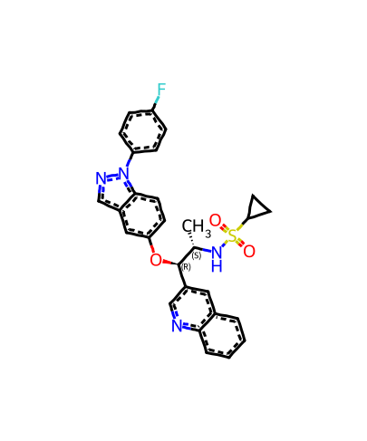 C[C@H](NS(=O)(=O)C1CC1)[C@H](Oc1ccc2c(cnn2-c2ccc(F)cc2)c1)c1cnc2ccccc2c1